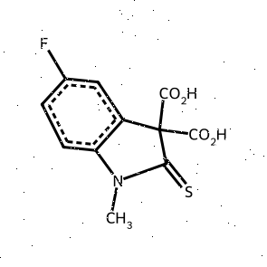 CN1C(=S)C(C(=O)O)(C(=O)O)c2cc(F)ccc21